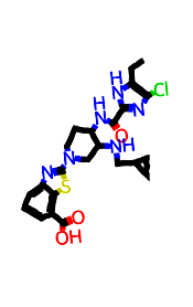 CCc1[nH]c(C(=O)NC2CCN(c3nc4cccc(C(=O)O)c4s3)CC2NCC2CC2)nc1Cl